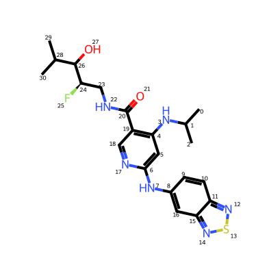 CC(C)Nc1cc(Nc2ccc3nsnc3c2)ncc1C(=O)NC[C@@H](F)C(O)C(C)C